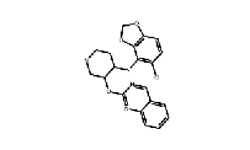 Clc1ccc2c(c1NC1CCNCC1Oc1ncc3ccccc3n1)OCO2